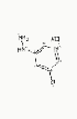 Cl.NNc1cncc(Cl)c1